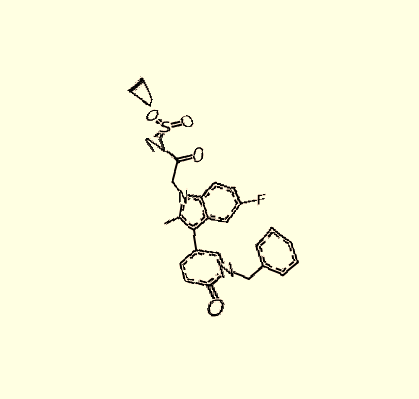 C1CC1.Cc1c(-c2ccc(=O)n(Cc3ccccc3)c2)c2cc(F)ccc2n1CC(=O)N=S(=O)=O